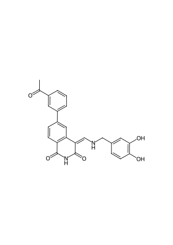 CC(=O)c1cccc(-c2ccc3c(c2)C(=CNCc2ccc(O)c(O)c2)C(=O)NC3=O)c1